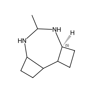 CC1NC2CCC2C2CC[C@@H]2N1